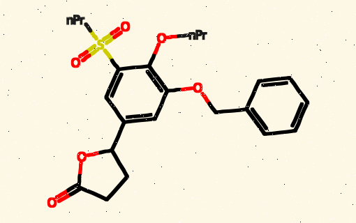 CCCOc1c(OCc2ccccc2)cc(C2CCC(=O)O2)cc1S(=O)(=O)CCC